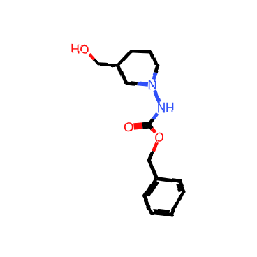 O=C(NN1CCCC(CO)C1)OCc1ccccc1